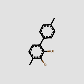 Cc1ccc(-c2ccc(C)c(Br)c2Br)cc1